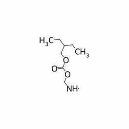 CCC(CC)COC(=O)OC[NH]